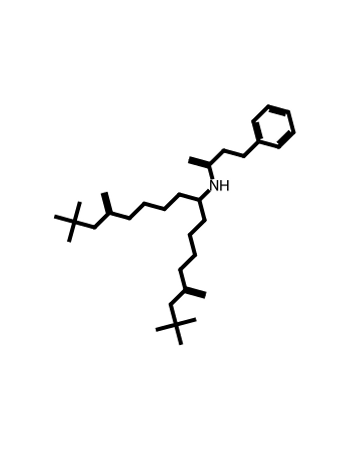 C=C(CCCCC(CCCCC(=C)CC(C)(C)C)NC(=C)CCc1ccccc1)CC(C)(C)C